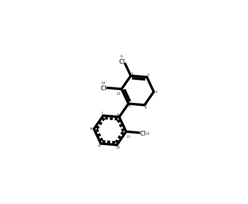 ClC1=CC[CH]C(c2ccccc2Cl)=C1Cl